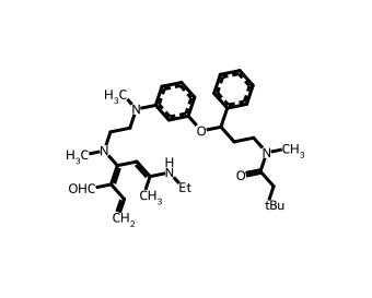 C=C/C(C=O)=C(\C=C(/C)NCC)N(C)CCN(C)c1cccc(OC(CCN(C)C(=O)CC(C)(C)C)c2ccccc2)c1